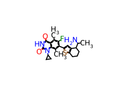 Cc1c(F)c(-c2cc3c(s2)CCCC3C(C)N)c(C)c2c1c(=O)[nH]c(=O)n2C1CC1